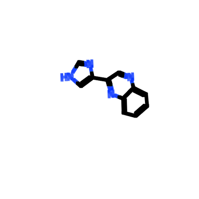 c1ccc2nc(-c3c[nH]cn3)cnc2c1